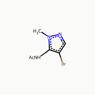 CC(=O)Nc1c(Br)cnn1C